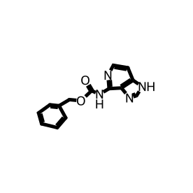 O=C(Nc1nccc2[nH]cnc12)OCc1ccccc1